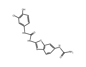 NC(=O)Nc1ccc2nc(NC(=O)Nc3ccc(O)c(Cl)c3)sc2c1